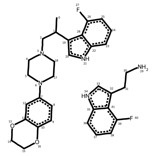 CC(CN1CCN(c2ccc3c(c2)OCCO3)CC1)c1c[nH]c2cccc(F)c12.NCCc1c[nH]c2cccc(F)c12